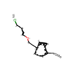 COc1ccc(COC[CH]CCl)cc1